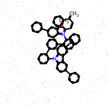 C=C(/C=C\c1c(C)c2cc(-c3ccccc3)ccc2n1-c1ccccc1-c1cccc(-c2ccccc2-n2c3ccc(-c4ccccc4)cc3c3cc(-c4ccccc4)ccc32)c1)c1ccccc1